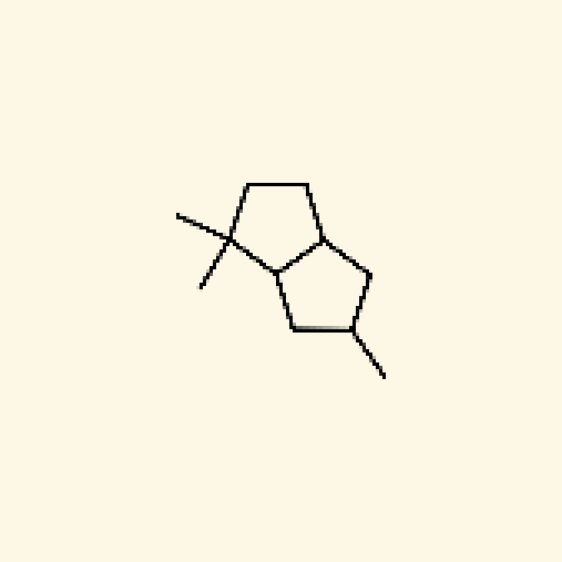 CC1CC2CCC(C)(C)C2C1